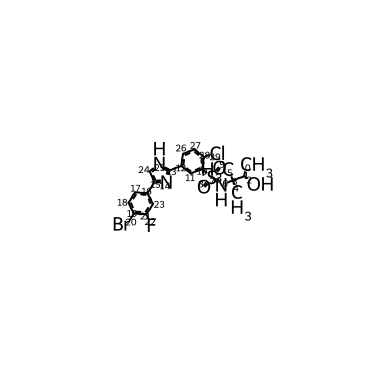 CC(O)C(C)(C)NS(=O)(=O)c1cc(-c2nc(-c3ccc(Br)c(F)c3)c[nH]2)ccc1Cl